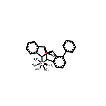 CCC[CH2][Hf]([CH3])([CH3])(=[SiH2])([CH2]CCC)([CH]1C=Cc2c(-c3ccccc3)cccc21)[CH]1C(C)=Cc2ccccc21